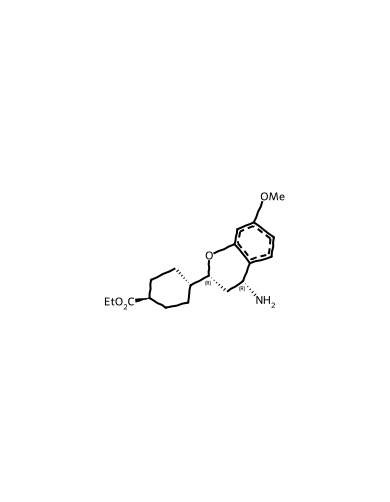 CCOC(=O)[C@H]1CC[C@H]([C@H]2C[C@@H](N)c3ccc(OC)cc3O2)CC1